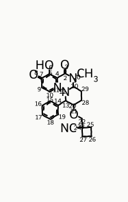 CN1C(=O)c2c(O)c(=O)ccn2N2C(c3ccccc3)C(OCC3(C#N)CCC3)CCC12